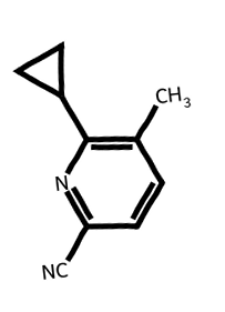 Cc1ccc(C#N)nc1C1CC1